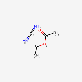 CCOC(C)=O.N=C=N